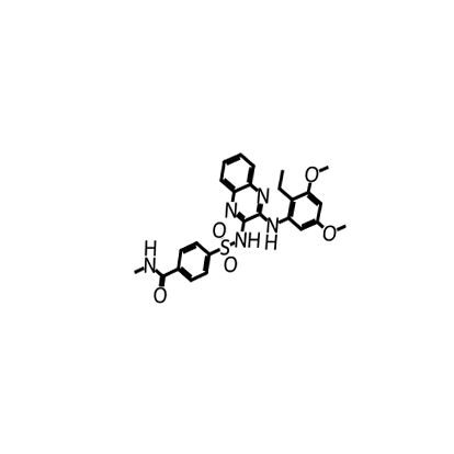 CCc1c(Nc2nc3ccccc3nc2NS(=O)(=O)c2ccc(C(=O)NC)cc2)cc(OC)cc1OC